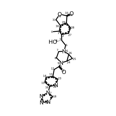 Cc1c([C@@H](O)CN2CCN(C(=O)Cc3ccc(-n4cnnn4)nc3)C3CC32)ccc2c1COC2=O